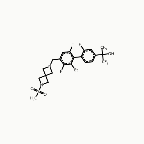 CCc1c(F)c(CN2CC3(C2)CN(S(C)(=O)=O)C3)cc(F)c1-c1ccc(C(O)(C(F)(F)F)C(F)(F)F)cc1F